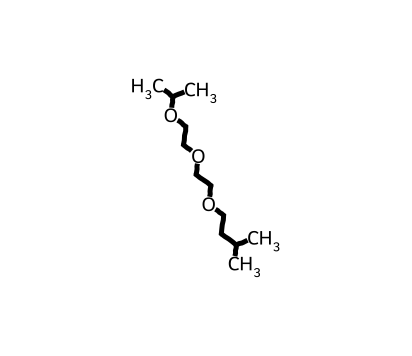 CC(C)CCOCCOCCOC(C)C